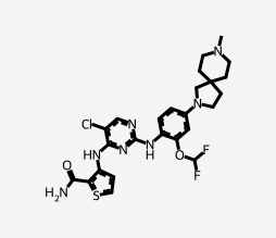 CN1CCC2(CC1)CCN(c1ccc(Nc3ncc(Cl)c(Nc4ccsc4C(N)=O)n3)c(OC(F)F)c1)C2